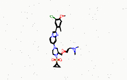 COc1cc(C)c(-c2cn3ccc(N4CCN(S(=O)(=O)C5CC5)C(COCCN(C)C)C4)cc3n2)cc1Cl